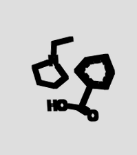 CCN1CCCC1.O=C(O)c1ccccc1